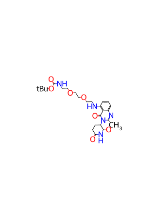 Cc1nc2cccc(NCCOCCOCCNC(=O)OC(C)(C)C)c2c(=O)n1C1CCC(=O)NC1=O